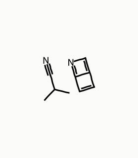 CC(C)C#N.c1cc2ncc1-2